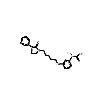 NC(=O)N(S)c1cccc(OCCCCCN2CCN(c3cccnc3)C2=O)c1